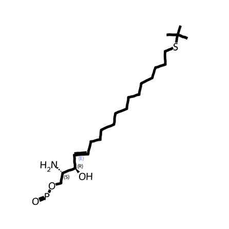 CC(C)(C)SCCCCCCCCCCCCC/C=C/[C@@H](O)[C@@H](N)COP=O